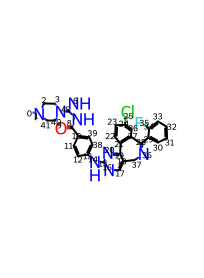 CN1CCN(C(=N)NC(=O)c2ccc(Nc3ncc4c(n3)-c3ccc(Cl)cc3C(c3ccccc3F)=NC4)cc2)CC1